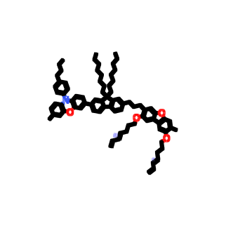 C=C/C=C/CCCOc1cc2c(cc1C)oc1cc(CCCc3ccc4c(c3)C(CCCCCCCC)(CCCCCCCC)c3cc(-c5ccc6c(c5)Oc5cc(C)ccc5N6c5ccc(CCCC)cc5)ccc3-4)c(OCCC/C=C/C=C)cc12